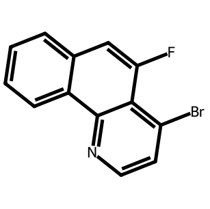 Fc1cc2ccccc2c2nccc(Br)c12